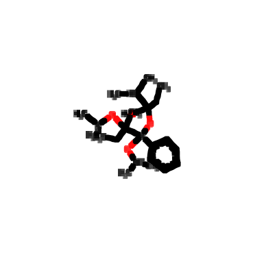 CCC(C)(O[Si](O[SiH](C)C)(c1ccccc1)C(C)(CC)O[SiH](C)C)[SiH](C)C